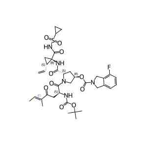 C=C[C@@H]1C[C@]1(NC(=O)[C@@H]1C[C@@H](OC(=O)N2Cc3cccc(F)c3C2)CN1C(=O)[C@H](CC(=O)/C(C)=C/C)NC(=O)OC(C)(C)C)C(=O)NS(=O)(=O)C1CC1